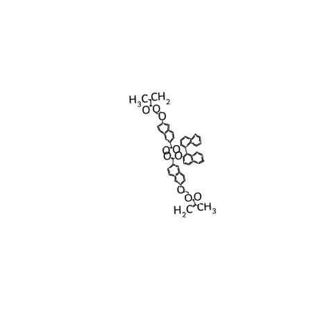 C=C(C)C(=O)OCOc1ccc2cc(C(=O)Oc3ccc4ccccc4c3-c3c(OC(=O)c4ccc5cc(OCOC(=O)C(=C)C)ccc5c4)ccc4ccccc34)ccc2c1